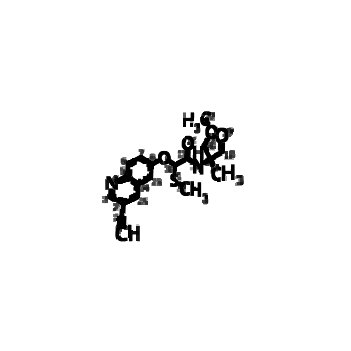 C#Cc1cnc2ccc(OC(SC)C(=O)NC(C)(C=O)COC)cc2c1